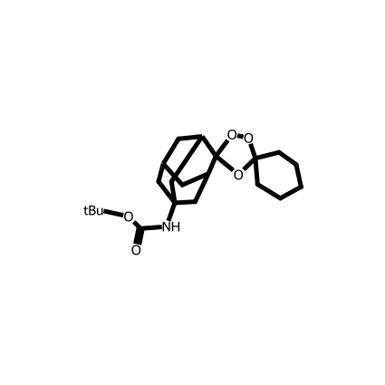 CC(C)(C)OC(=O)NC12CC3CC(C1)C1(OOC4(CCCCC4)O1)C(C3)C2